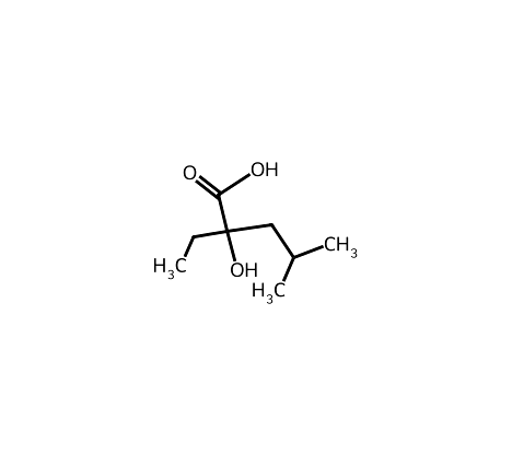 CCC(O)(CC(C)C)C(=O)O